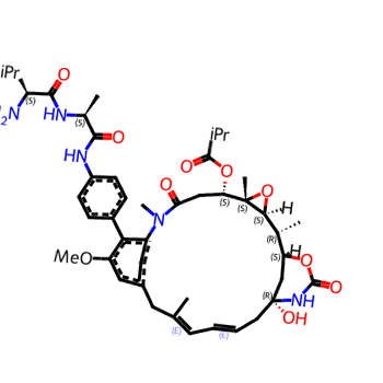 COc1cc2cc(c1-c1ccc(NC(=O)[C@H](C)NC(=O)[C@@H](N)C(C)C)cc1)N(C)C(=O)C[C@H](OC(=O)C(C)C)[C@]1(C)O[C@H]1[C@H](C)[C@@H]1C[C@](O)(C/C=C/C=C(\C)C2)NC(=O)O1